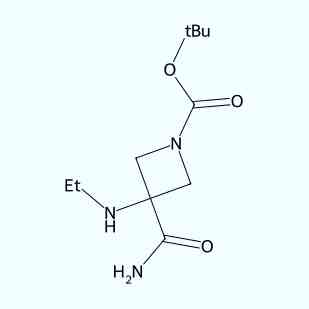 CCNC1(C(N)=O)CN(C(=O)OC(C)(C)C)C1